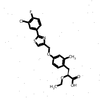 CCO[C@@H](Cc1ccc(OCc2csc(-c3ccc(F)c(Cl)c3)n2)cc1C)C(=O)O